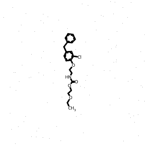 CCOCCOC(=O)NCCOc1ccc(Cc2ccccc2)cc1Cl